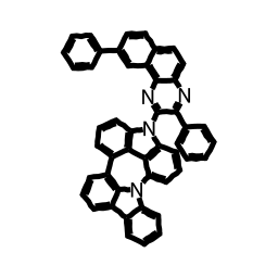 c1ccc(-c2ccc3ccc4nc(-c5ccccc5)c(-n5c6cccc7c8cccc9c%10ccccc%10n(c%10cccc5c%10c76)c89)nc4c3c2)cc1